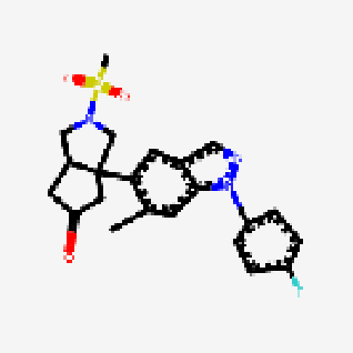 Cc1cc2c(cnn2-c2ccc(F)cc2)cc1C12CC(=O)CC1CN(S(C)(=O)=O)C2